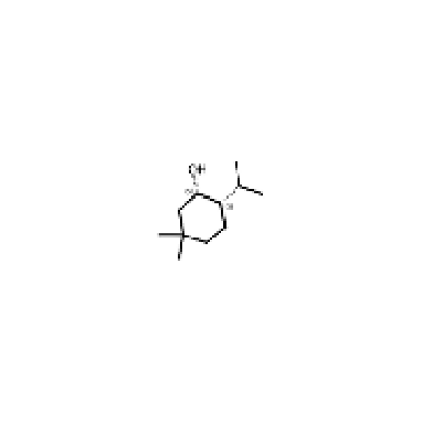 CC(C)[C@@H]1CCC(C)(C)C[C@@H]1O